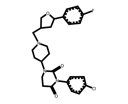 O=C1CCN(C2CCN(CC3COC(c4ccc(F)cc4)C3)CC2)C(=O)N1c1ccc(Cl)cc1